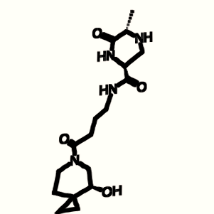 C[C@@H]1NC[C@@H](C(=O)NCCCC(=O)N2CCC3(CC3)[C@H](O)C2)NC1=O